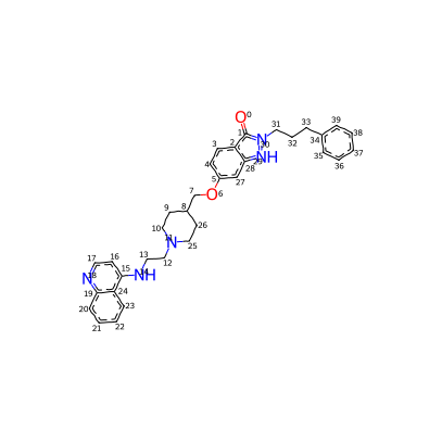 O=c1c2ccc(OCC3CCN(CCNc4ccnc5ccccc45)CC3)cc2[nH]n1CCCc1ccccc1